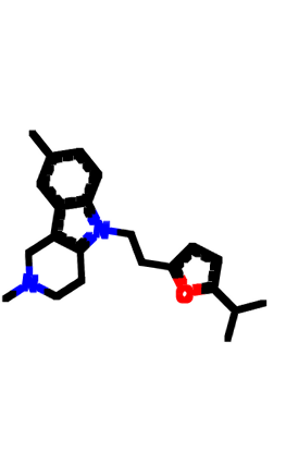 Cc1ccc2c(c1)c1c(n2CCc2ccc(C(C)C)o2)CCN(C)C1